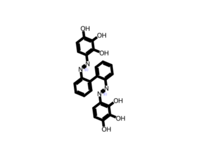 Oc1ccc(/N=N/c2ccccc2-c2ccccc2/N=N/c2ccc(O)c(O)c2O)c(O)c1O